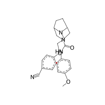 COc1ccc(NC(=O)N2CC3CCC(C2)N3CCOc2ccc(C#N)cc2)cc1